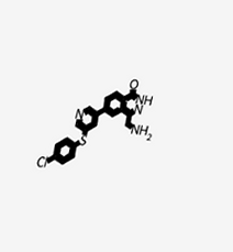 NCc1n[nH]c(=O)c2ccc(-c3cncc(Sc4ccc(Cl)cc4)c3)cc12